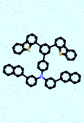 c1cc(-c2ccc3ccccc3c2)cc(N(c2ccc(-c3cc(-c4cccc5c4sc4ccccc45)cc(-c4cccc5c4sc4ccccc45)c3)cc2)c2cccc(-c3ccc4ccccc4c3)c2)c1